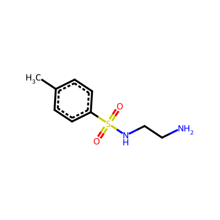 Cc1ccc(S(=O)(=O)NCCN)cc1